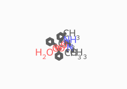 CCN(CC)CC(=O)Nc1c(C)cccc1C.O.O=C(OCc1ccccc1)c1ccccc1